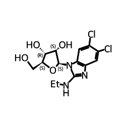 CCNc1nc2cc(Cl)c(Cl)cc2n1[C@H]1O[C@@H](CO)[C@H](O)[C@@H]1O